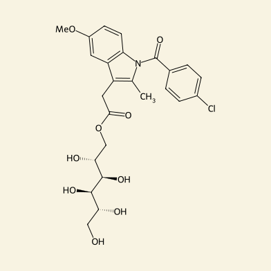 COc1ccc2c(c1)c(CC(=O)OC[C@@H](O)[C@@H](O)[C@H](O)[C@H](O)CO)c(C)n2C(=O)c1ccc(Cl)cc1